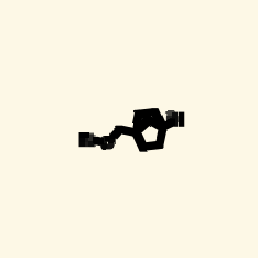 [2H]C12CCC(COCC)(CC1)C2